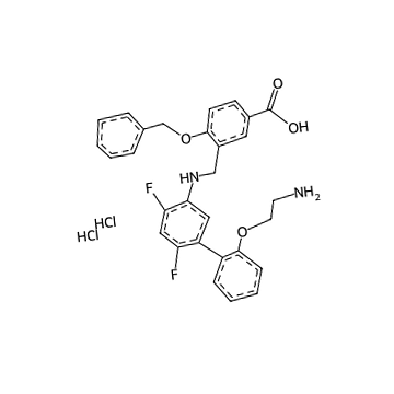 Cl.Cl.NCCOc1ccccc1-c1cc(NCc2cc(C(=O)O)ccc2OCc2ccccc2)c(F)cc1F